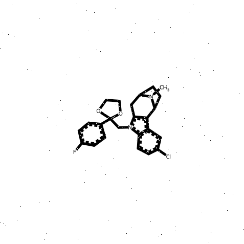 CN1C2CCC1c1c(n(CC3(c4ccc(F)cc4)OCCO3)c3ccc(Cl)cc13)C2